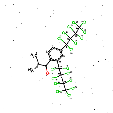 CC(C)C([O])c1ccc(C(Cl)(Cl)C(Cl)(Cl)C(Cl)(Cl)C(Cl)(Cl)Cl)cc1C(Cl)(Cl)C(Cl)(Cl)C(Cl)(Cl)C(Cl)(Cl)Cl